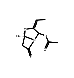 C/C=C1/O[C@@H]2CC(=O)N2C1OC(C)=O